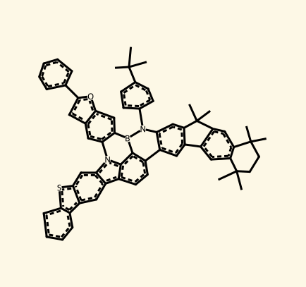 CC(C)(C)c1ccc(N2B3c4cc5oc(-c6ccccc6)cc5cc4-n4c5cc6sc7ccccc7c6cc5c5ccc(c3c54)-c3cc4c(cc32)C(C)(C)c2cc3c(cc2-4)C(C)(C)CCC3(C)C)cc1